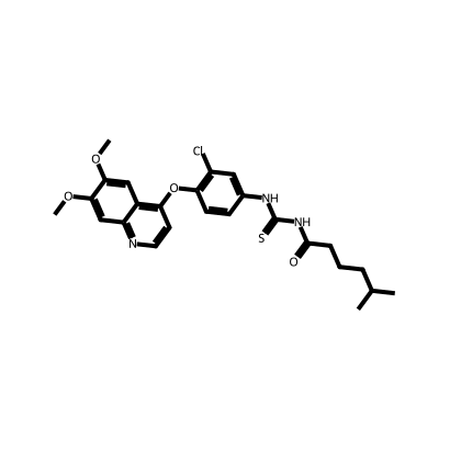 COc1cc2nccc(Oc3ccc(NC(=S)NC(=O)CCCC(C)C)cc3Cl)c2cc1OC